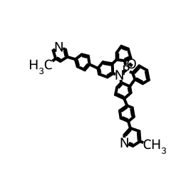 Cc1cncc(-c2ccc(-c3ccc4c(c3)-c3ccccc3P3(=O)c5ccccc5-c5cc(-c6ccc(-c7cncc(C)c7)cc6)ccc5N43)cc2)c1